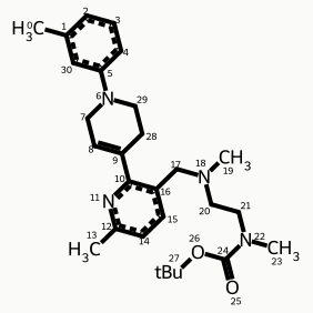 Cc1cccc(N2CC=C(c3nc(C)ccc3CN(C)CCN(C)C(=O)OC(C)(C)C)CC2)c1